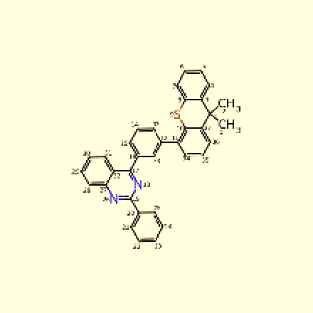 CC1(C)c2ccccc2Sc2c(-c3cccc(-c4nc(-c5ccccc5)nc5ccccc45)c3)cccc21